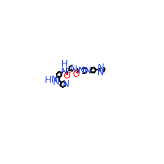 O=C(Nc1ccc2[nH]nc(-c3cccnc3)c2c1)[C@@H]1CCN(CC(=O)N2CCN(c3ccc(-c4ncccn4)cc3)CC2)C1